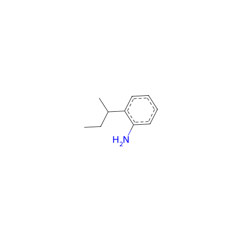 CCC(C)c1ccccc1N